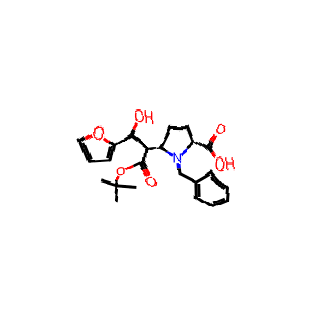 CC(C)(C)OC(=O)C(C(O)c1ccco1)[C@H]1CC[C@@H](C(=O)O)N1Cc1ccccc1